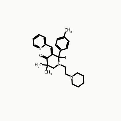 Cc1ccc(C2(I)C(=Cc3ccccn3)C(=O)C(C)(C)CN2CCN2CCCCC2)cc1